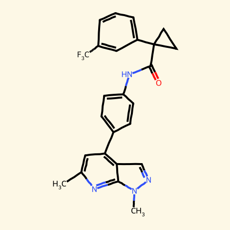 Cc1cc(-c2ccc(NC(=O)C3(c4cccc(C(F)(F)F)c4)CC3)cc2)c2cnn(C)c2n1